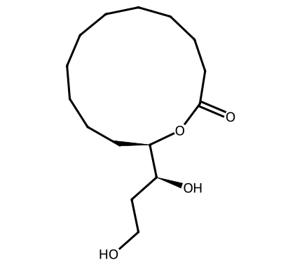 O=C1CCCCCCCCCC[C@H]([C@@H](O)CCO)O1